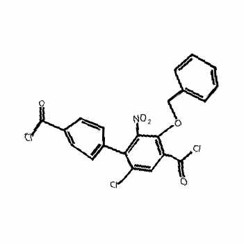 O=C(Cl)c1ccc(-c2c(Cl)cc(C(=O)Cl)c(OCc3ccccc3)c2[N+](=O)[O-])cc1